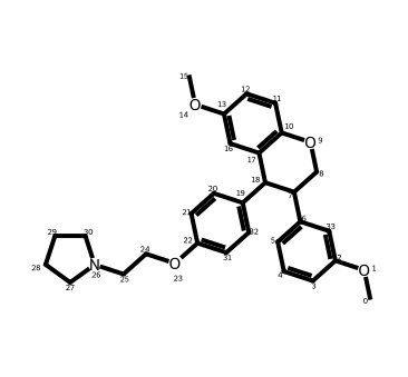 COc1cccc(C2COc3ccc(OC)cc3C2c2ccc(OCCN3CCCC3)cc2)c1